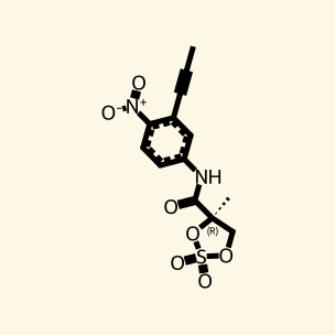 CC#Cc1cc(NC(=O)[C@@]2(C)COS(=O)(=O)O2)ccc1[N+](=O)[O-]